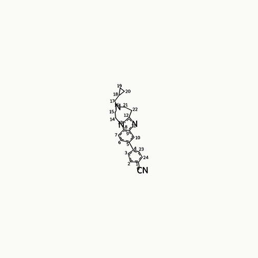 N#Cc1ccc(-c2ccc3c(c2)nc2n3CCN(CC3CC3)CC2)cc1